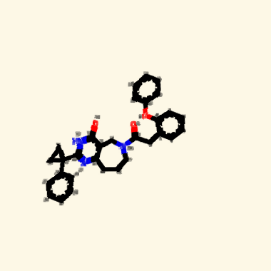 O=C(Cc1ccccc1Oc1ccccc1)N1CCCc2nc(C3(c4ccccc4)CC3)[nH]c(=O)c2C1